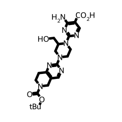 CC(C)(C)OC(=O)N1CCc2nc(N3CCN(c4ncc(C(=O)O)c(N)n4)C(CO)C3)ncc2C1